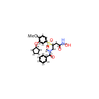 COc1ccc(S(=O)(=O)C(CC(=O)NO)CN(C)C(=O)c2ccccc2)cc1OC1CCCC1